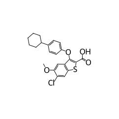 COc1cc2c(Oc3ccc(C4CCCCC4)cc3)c(C(=O)O)sc2cc1Cl